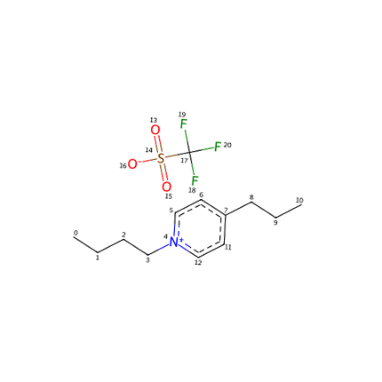 CCCC[n+]1ccc(CCC)cc1.O=S(=O)([O-])C(F)(F)F